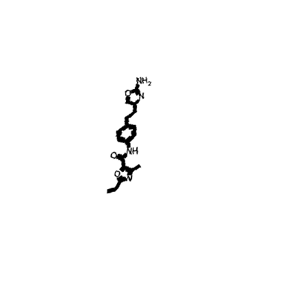 CCc1nc(C)c(C(=O)Nc2ccc(CCC3COC(N)=N3)cc2)o1